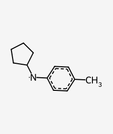 Cc1ccc([N]C2CCCC2)cc1